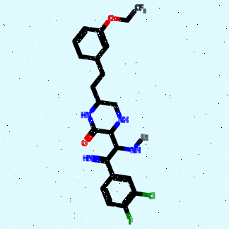 CCNC(C(=N)c1ccc(F)c(Cl)c1)C1NCC(CCC2C=C(OCC(F)(F)F)C=CC2)NC1=O